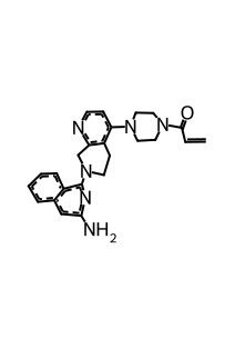 C=CC(=O)N1CCN(c2ccnc3c2CCN(c2nc(N)cc4ccccc24)C3)CC1